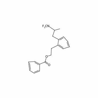 CC(Cc1ccccc1CCOC(=O)c1ccccc1)NC(F)(F)F